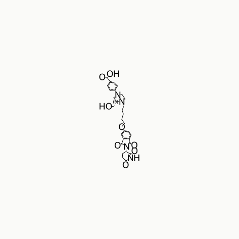 O=C1CCC(N2C(=O)c3ccc(OCCCCCN4CCN(c5ccc(C(=O)O)cc5)C[C@H]4CO)cc3C2=O)C(=O)N1